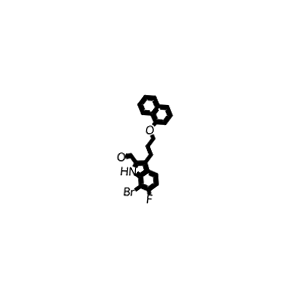 O=Cc1[nH]c2c(Br)c(F)ccc2c1CCCOc1cccc2ccccc12